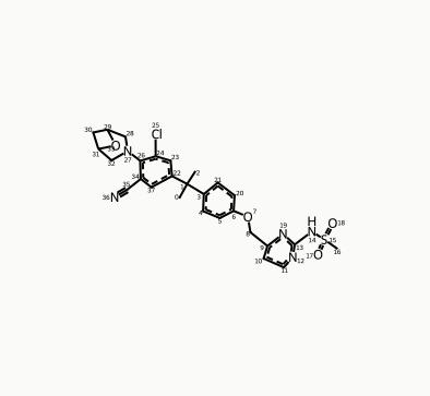 CC(C)(c1ccc(OCc2ccnc(NS(C)(=O)=O)n2)cc1)c1cc(Cl)c(N2CC3CC(C2)O3)c(C#N)c1